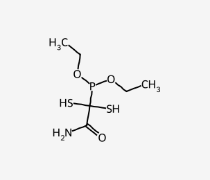 CCOP(OCC)C(S)(S)C(N)=O